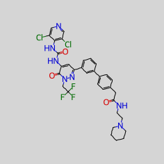 O=C(Cc1ccc(-c2cccc(-c3cc(NC(=O)Nc4c(Cl)cncc4Cl)c(=O)n(CC(F)(F)F)n3)c2)cc1)NCCN1CCCCC1